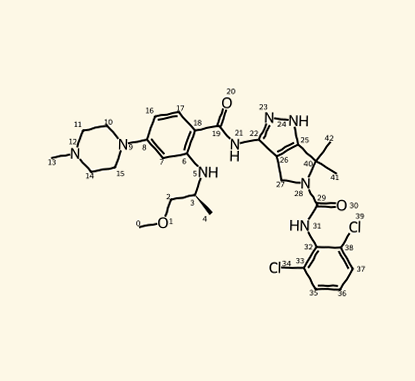 COC[C@H](C)Nc1cc(N2CCN(C)CC2)ccc1C(=O)Nc1n[nH]c2c1CN(C(=O)Nc1c(Cl)cccc1Cl)C2(C)C